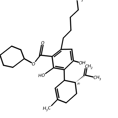 C=C(C)[C@@H]1CCC(C)=CC1c1c(O)cc(CCCCC)c(C(=O)OC2CCCCC2)c1O